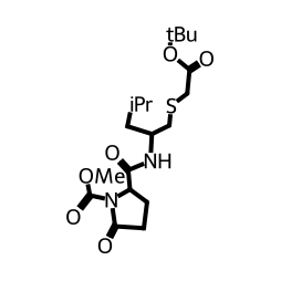 COC(=O)N1C(=O)CCC1C(=O)NC(CSCC(=O)OC(C)(C)C)CC(C)C